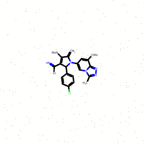 C=C1C(NC)=C(C(=N)CC)C(c2ccc(Cl)cc2)N1c1cc(OC)c2nnc(C)n2c1